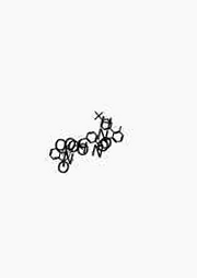 Cc1cccc(C(=O)Nc2ccc(CC(=O)OC[C@@]3(C(=O)O)c4ccccc4C(=O)N3C)cc2C(=O)N(C)C)c1-c1ccc(C(C)(C)C)cc1